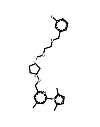 Cc1cc(CO[C@H]2CC[C@H](COCCOCc3cccc(F)c3)C2)nc(-n2c(C)ccc2C)c1